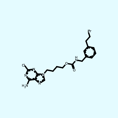 CC(C)CCc1cccc(CNC(=O)OCCCCn2cnc3c(N)nc(Cl)nc32)c1